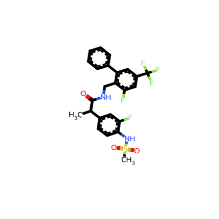 CC(C(=O)NCc1c(F)cc(C(F)(F)F)cc1-c1ccccc1)c1ccc(NS(C)(=O)=O)c(F)c1